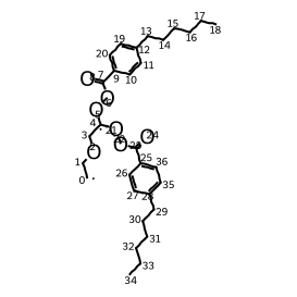 [CH2]COC[C](OOC(=O)c1ccc(CCCCCC)cc1)OOC(=O)c1ccc(CCCCCC)cc1